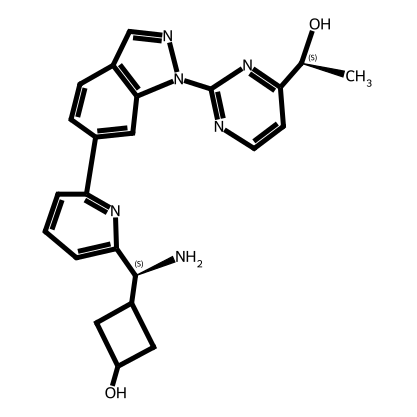 C[C@H](O)c1ccnc(-n2ncc3ccc(-c4cccc([C@@H](N)C5CC(O)C5)n4)cc32)n1